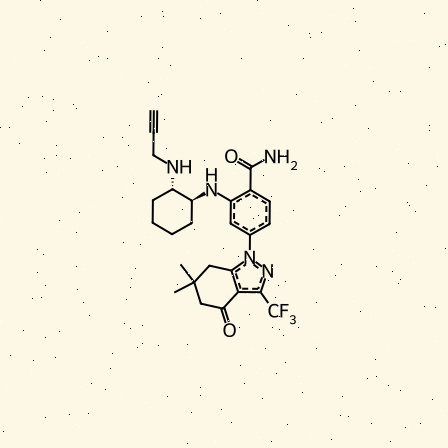 C#CCN[C@H]1CCCC[C@@H]1Nc1cc(-n2nc(C(F)(F)F)c3c2CC(C)(C)CC3=O)ccc1C(N)=O